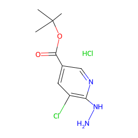 CC(C)(C)OC(=O)c1cnc(NN)c(Cl)c1.Cl